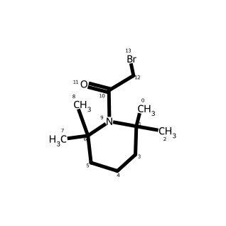 CC1(C)CCCC(C)(C)N1C(=O)CBr